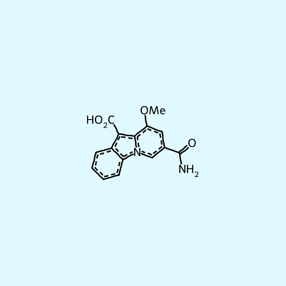 COc1cc(C(N)=O)cn2c1c(C(=O)O)c1ccccc12